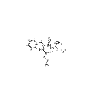 CC(=O)SCC(=O)N[C@@H](Cc1ccccc1)C(=O)N[C@@H](C)C(=O)O